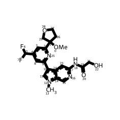 COC1(c2cc(C(F)F)cc(-c3cn(C)c4cnc(NC(=O)CO)cc34)n2)CCOC1